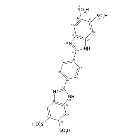 O=S(=O)(O)c1cc2nc(-c3ccc(-c4nc5cc(S(=O)(=O)O)c(S(=O)(=O)O)cc5[nH]4)cc3)[nH]c2cc1S(=O)(=O)O